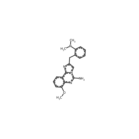 COc1cccc2c1nc(N)n1cc(Cc3ccccc3N(C)C)nc21